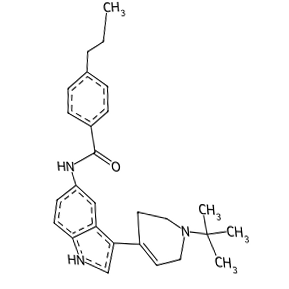 CCCc1ccc(C(=O)Nc2ccc3[nH]cc(C4=CCN(C(C)(C)C)CC4)c3c2)cc1